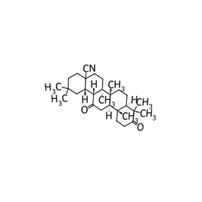 CC1(C)CCC2(C#N)CC[C@]3(C)[C@H](C(=O)C[C@@H]4[C@@]5(C)CCC(=O)C(C)(C)[C@@H]5CC[C@]43C)[C@@H]2C1